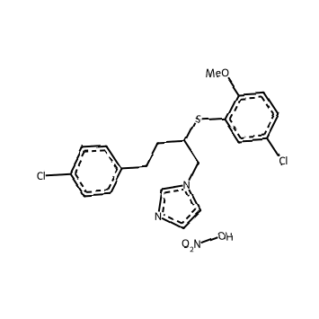 COc1ccc(Cl)cc1SC(CCc1ccc(Cl)cc1)Cn1ccnc1.O=[N+]([O-])O